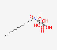 CCCCCCCCCCCCCCCC(=O)N(C)C[C@H](O)[C@@H](O)[C@H](O)[C@H](O)CO